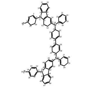 FC1=CC=C(n2c3c(c4ccccc42)C=C(N(c2ccccc2)C2C=CC(C4=CCC(N(C5=CCCC=C5)c5ccc6c(c5)c5ccccc5n6-c5ccc(F)cc5)C=C4)=CC2)CC3)CC1